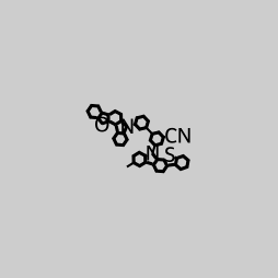 Cc1ccc2c(c1)c1ccc3c4ccccc4sc3c1n2-c1cc(C#N)cc(-c2cccc(-n3c4ccccc4c4c5oc6ccccc6c5ccc43)c2)c1